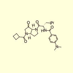 CC(C)C[C@H](NC(=O)c1ccc(N(C)C)cc1)C(=O)N1CC[C@@H]2[C@H]1C(=O)CN2C(=O)C1CCC1